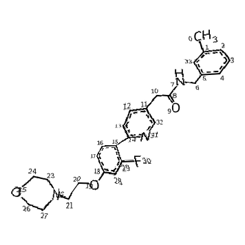 Cc1cccc(CNC(=O)Cc2ccc(-c3ccc(OCCN4CCOCC4)cc3F)nc2)c1